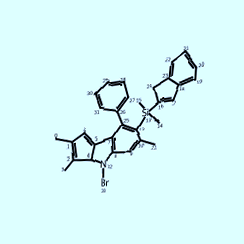 CC1=C(C)C2C(=C1)c1c(cc(C)c([Si](C)(C)C3=Cc4ccccc4C3)c1-c1ccccc1)N2Br